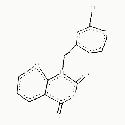 O=c1oc(=O)n(Cc2ccnc(Cl)c2)c2ncccc12